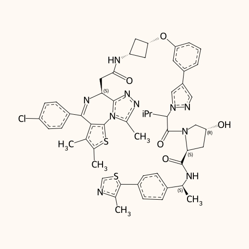 Cc1ncsc1-c1ccc([C@H](C)NC(=O)[C@@H]2C[C@@H](O)CN2C(=O)C(C(C)C)n2cc(-c3cccc(O[C@H]4C[C@@H](NC(=O)C[C@@H]5N=C(c6ccc(Cl)cc6)c6c(sc(C)c6C)-n6c(C)nnc65)C4)c3)cn2)cc1